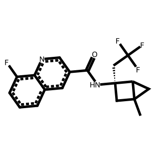 CC12CC1[C@](CC(F)(F)F)(NC(=O)c1cnc3c(F)cccc3c1)C2